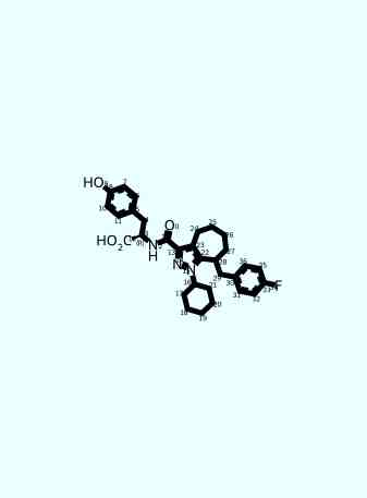 O=C(N[C@H](Cc1ccc(O)cc1)C(=O)O)c1nn(C2CCCCC2)c2c1CCCCC2Cc1ccc(F)cc1